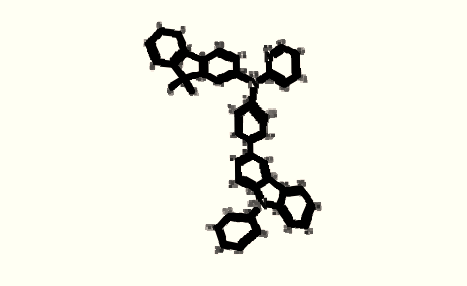 CC1(C)C2=C(CCC=C2)c2ccc(N(c3ccc(-c4ccc5c(c4)c4ccccc4n5C4=CCCC=C4)cc3)c3ccccn3)cc21